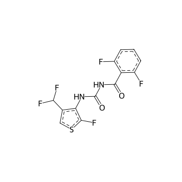 O=C(NC(=O)c1c(F)cccc1F)Nc1c(C(F)F)csc1F